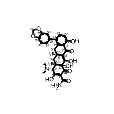 CN(C)[C@H]1C(O)=C(C(N)=O)C(=O)[C@@]2(O)C(O)=C3C(=O)c4c(O)ccc(-c5ccc6c(c5)OCO6)c4C[C@@H]3C[C@H]12